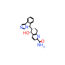 NC(=O)c1ccc2c(n1)CC[C@@H]([C@@H]1c3ccccc3-c3cncn31)[C@H]2O